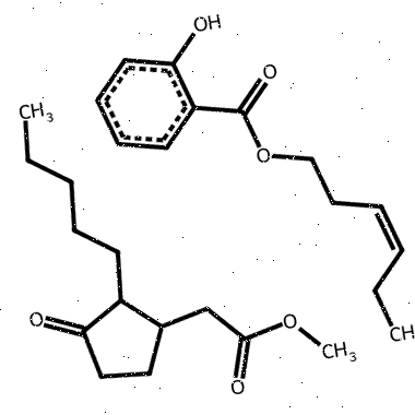 CC/C=C\CCOC(=O)c1ccccc1O.CCCCCC1C(=O)CCC1CC(=O)OC